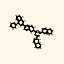 c1ccc(-c2cc(-c3ccc4cc(-c5nc(-c6ccc7ccccc7c6)nc(-c6ccc7ccccc7c6)n5)ccc4c3)cc3ccccc23)cc1